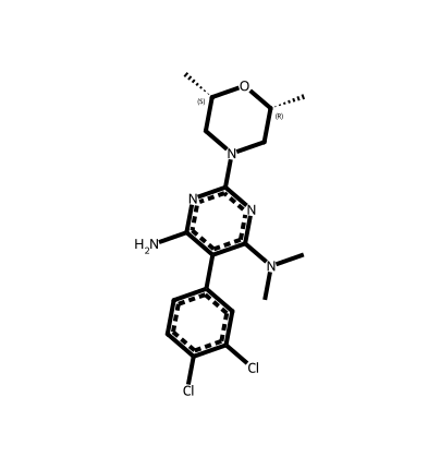 C[C@@H]1CN(c2nc(N)c(-c3ccc(Cl)c(Cl)c3)c(N(C)C)n2)C[C@H](C)O1